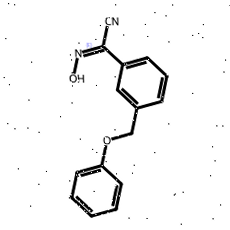 N#C/C(=N/O)c1cccc(COc2ccccc2)c1